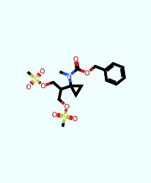 CN(C(=O)OCc1ccccc1)C1(C(COS(C)(=O)=O)COS(C)(=O)=O)CC1